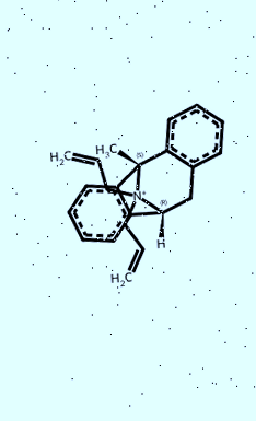 C=CC[N+]1(CC=C)[C@@H]2Cc3ccccc3[C@@]1(C)c1ccccc12